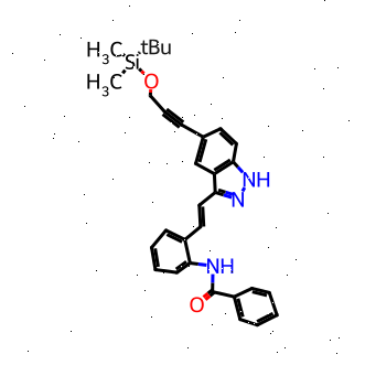 CC(C)(C)[Si](C)(C)OCC#Cc1ccc2[nH]nc(C=Cc3ccccc3NC(=O)c3ccccc3)c2c1